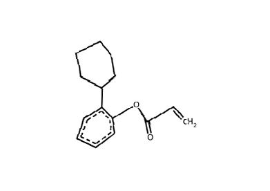 C=CC(=O)Oc1ccccc1C1CCCCC1